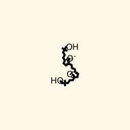 CC(C)(CO)CCCC1CCC(CCCC2CCC(CCCC(C)(C)CO)[S+]2[O-])[S+]1[O-]